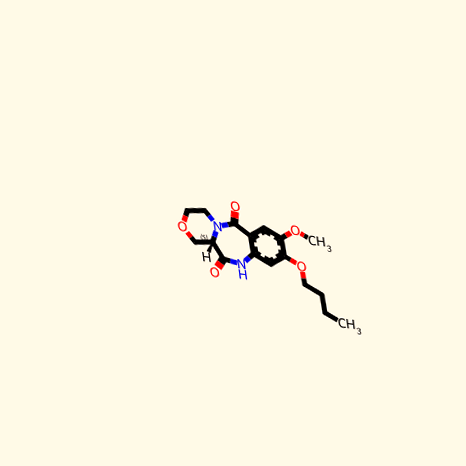 CCCCOc1cc2c(cc1OC)C(=O)N1CCOC[C@H]1C(=O)N2